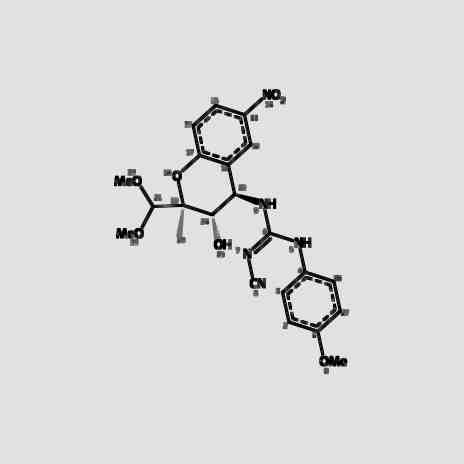 COc1ccc(NC(=NC#N)N[C@@H]2c3cc([N+](=O)[O-])ccc3O[C@](C)(C(OC)OC)[C@H]2O)cc1